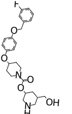 O=C(OC1CNCC(CO)C1)N1CCC(Oc2ccc(OCc3cccc(F)c3)cc2)CC1